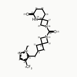 Cn1ncc(C(F)(F)F)c1CC1CC2(C1)CN(C(=O)N1CC3(CCCC(=O)N3)C1)C2